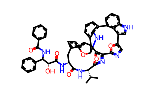 CC(C)[C@@H]1NC(=O)[C@@H](NC(=O)[C@H](O)C(NC(=O)c2ccccc2)c2ccccc2)Cc2ccc3c(c2)C24c5cccc(c5NC2O3)-c2cccc3[nH]cc(c23)-c2cnc(o2)-c2nc1oc24